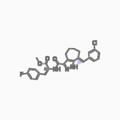 COC(=O)[C@H](Cc1ccc(F)cc1)NC(=O)c1n[nH]c2c1CCCC/C2=C\c1cccc(Cl)c1